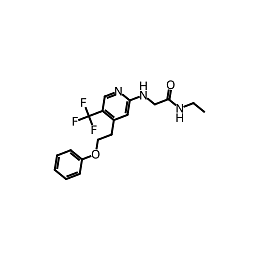 CCNC(=O)CNc1cc(CCOc2ccccc2)c(C(F)(F)F)cn1